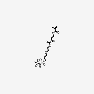 C=C(C)C(=O)OCCNC(=O)OCCOCCOS(=O)(=O)NS(C)(=O)=O